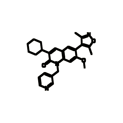 COc1cc2c(cc1-c1c(C)noc1C)cc(C1CCCCC1)c(=O)n2Cc1cccnc1